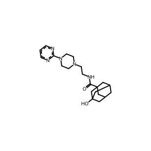 O=C(NCCN1CCN(c2ncccn2)CC1)C12CC3CC(CC(O)(C3)C1)C2